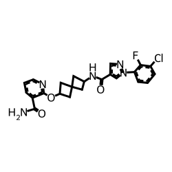 NC(=O)c1cccnc1OC1CC2(CC(NC(=O)c3cnn(-c4cccc(Cl)c4F)c3)C2)C1